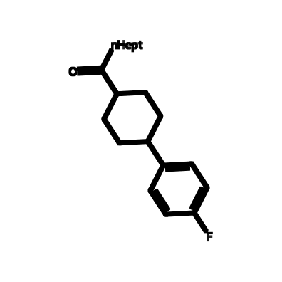 CCCCCCCC(=O)C1CCC(c2ccc(F)cc2)CC1